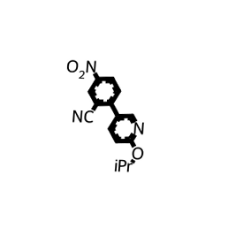 CC(C)Oc1ccc(-c2ccc([N+](=O)[O-])cc2C#N)cn1